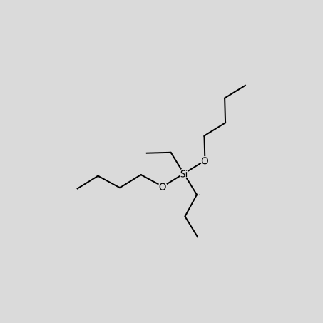 CC[CH][Si](CC)(OCCCC)OCCCC